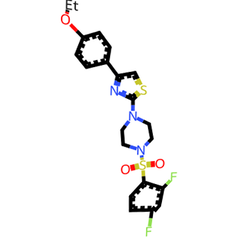 CCOc1ccc(-c2csc(N3CCN(S(=O)(=O)c4ccc(F)cc4F)CC3)n2)cc1